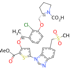 COC(=O)c1sc(-n2cnc3ccc(CS(C)(=O)=O)cc32)cc1O[C@H](C)c1cccc(OC[C@@H]2CCCN2C(=O)O)c1Cl